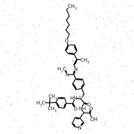 C=N/C(=N\C=C(/C)c1ccc(OCCCCCCC)cc1)c1ccc(C[C@H](NC(=O)c2ccc(C(C)(C)C)cc2)C(=O)NC(C(=O)O)c2cccnc2)cc1